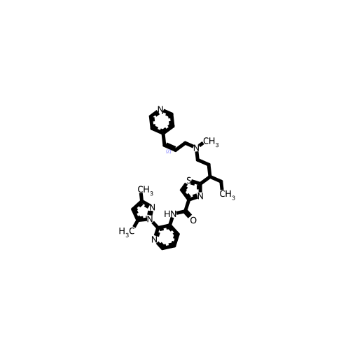 CCC(CCN(C)C/C=C\c1ccncc1)c1nc(C(=O)Nc2cccnc2-n2nc(C)cc2C)cs1